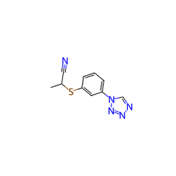 CC(C#N)Sc1cccc(-n2cnnn2)c1